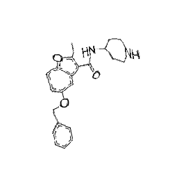 Cc1oc2ccc(OCc3ccccc3)cc2c1C(=O)NC1CCNCC1